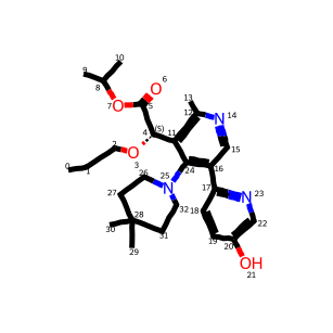 CCCO[C@H](C(=O)OC(C)C)c1c(C)ncc(-c2ccc(O)cn2)c1N1CCC(C)(C)CC1